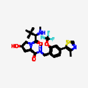 CNC(C(=O)N1CC(O)CC1C(=O)NCc1ccc(-c2scnc2C)cc1OC(F)(F)F)C(C)(C)C